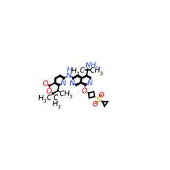 C[C@@H]1c2nc(Nc3cc4c(C(C)(C)N)cnc(O[C@H]5C[C@@H](S(=O)(=O)C6CC6)C5)c4cn3)ccc2C(=O)OC1(C)C